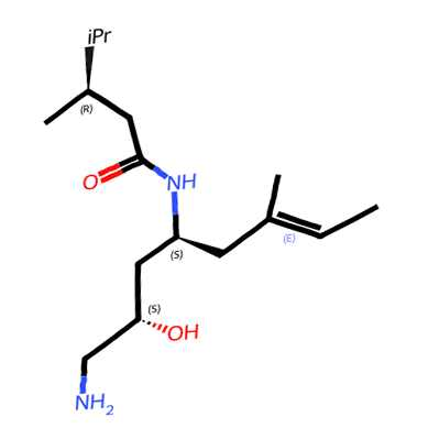 C/C=C(\C)C[C@@H](C[C@H](O)CN)NC(=O)C[C@@H](C)C(C)C